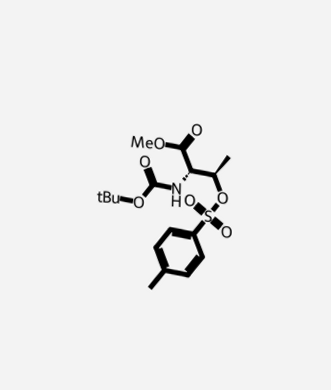 COC(=O)[C@@H](NC(=O)OC(C)(C)C)[C@@H](C)OS(=O)(=O)c1ccc(C)cc1